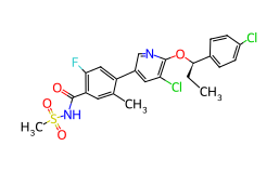 CC[C@@H](Oc1ncc(-c2cc(F)c(C(=O)NS(C)(=O)=O)cc2C)cc1Cl)c1ccc(Cl)cc1